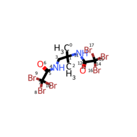 CC(C)(CNC(=O)C(Br)(Br)Br)NC(=O)C(Br)(Br)Br